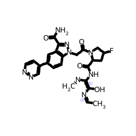 C=N/C(NC(=O)C1CC(F)CN1C(=O)Cn1nc(C(N)=O)c2cc(-c3ccnnc3)ccc21)=C(O)\N=C/C